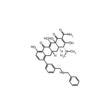 CN(C)[C@H]1C(O)=C(C(N)=O)C(=O)C2(O)C(O)=C3C(=O)c4c(O)ccc(-c5cccc(CNCc6ccccc6)c5)c4C[C@H]3C[C@H]12